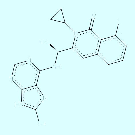 Cc1nc2c(N[C@@H](C)c3cc4cccc(Cl)c4c(=O)n3C3CC3)ncnc2[nH]1